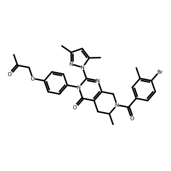 CC(=O)COc1ccc(-n2c(-n3nc(C)cc3C)nc3c(c2=O)CC(C)N(C(=O)c2ccc(Br)c(C)c2)C3)cc1